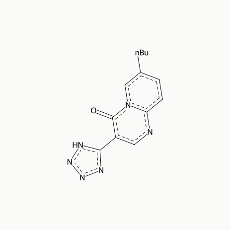 CCCCc1ccc2ncc(-c3nnn[nH]3)c(=O)n2c1